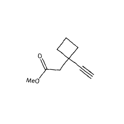 C#CC1(CC(=O)OC)CCC1